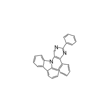 c1ccc(-c2ncc(-n3c4ccccc4c4ccccc43)c(-c3ccccc3)n2)cc1